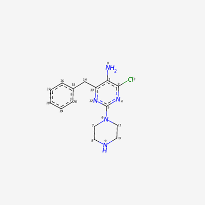 Nc1c(Cl)nc(N2CCNCC2)nc1Cc1ccccc1